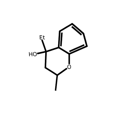 CCC1(O)CC(C)Oc2ccccc21